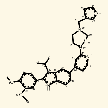 COc1ccc(-c2[nH]c3ccc(-c4ccnc(N5CCN(Cc6ccsc6)CC5)c4)cc3c2C(C)C)cc1OC